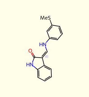 CSc1cccc(N/C=C2\C(=O)Nc3ccccc32)c1